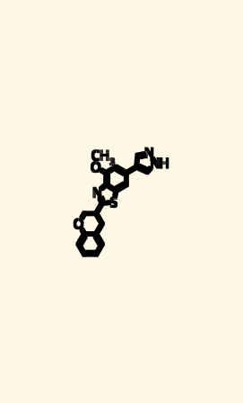 COc1cc(-c2cn[nH]c2)cc2sc(C3COc4ccccc4C3)nc12